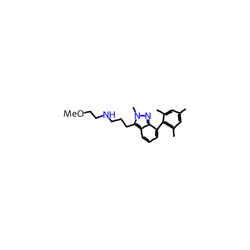 COCCNCCCc1c2cccc(-c3c(C)cc(C)cc3C)c2nn1C